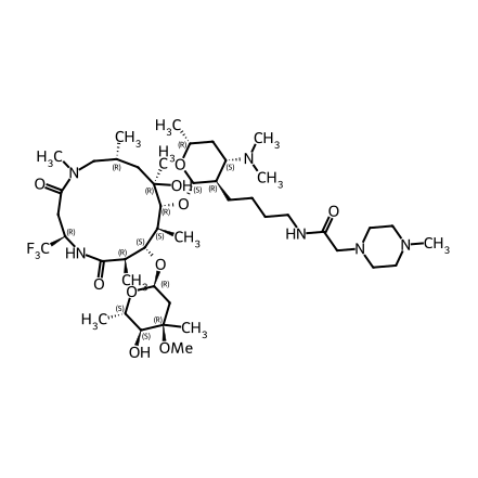 CO[C@]1(C)C[C@H](O[C@H]2[C@H](C)[C@@H](O[C@@H]3O[C@H](C)C[C@H](N(C)C)[C@H]3CCCCNC(=O)CN3CCN(C)CC3)[C@](C)(O)C[C@@H](C)CN(C)C(=O)C[C@H](C(F)(F)F)NC(=O)[C@@H]2C)O[C@@H](C)[C@@H]1O